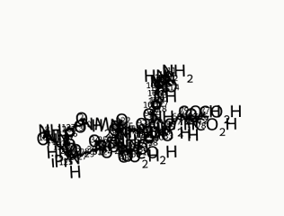 CNC(=O)OCc1ccc(NC(=O)C(CCCNC(N)=O)NC(=O)[C@@H](NC(=O)CCCCCN2C(=O)CC(SC[C@H](NC(=O)[C@H](CC(=O)O)NC(=O)[C@H](CC(=O)O)NC(=O)Cc3ccc(CNC(=O)NCCCC[C@H](NC(=O)N[C@@H](CCC(=O)O)C(=O)O)C(=O)O)cc3)C(=O)N[C@@H](CCCCNC(=O)CC[C@H](NC(=O)c3ccc(NCc4cnc5[nH]c(N)nc(=O)c5n4)cc3)C(=O)O)C(N)=O)C2=O)C(C)C)cc1